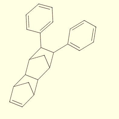 C1=CC2CC1C1C3CC(C(c4ccccc4)C3c3ccccc3)C21